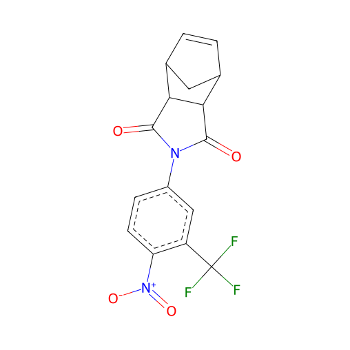 O=C1C2C3C=CC(C3)C2C(=O)N1c1ccc([N+](=O)[O-])c(C(F)(F)F)c1